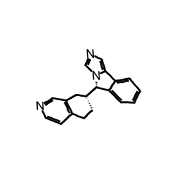 c1ccc2c(c1)-c1cncn1[C@H]2[C@@H]1CCc2ccncc2C1